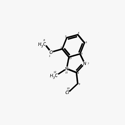 COc1cccc2nc(CCl)n(C)c12